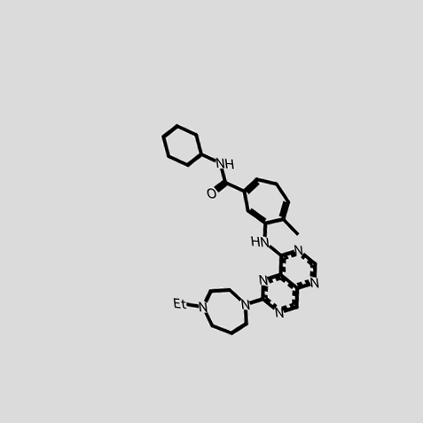 CCN1CCCN(c2ncc3ncnc(NC4=CC(C(=O)NC5CCCCC5)=CCC=C4C)c3n2)CC1